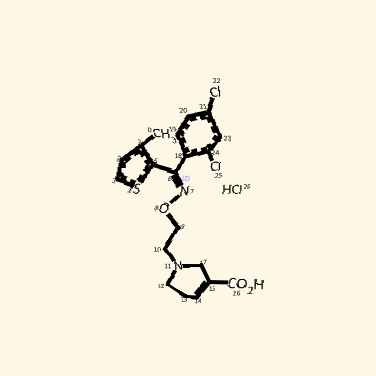 Cc1ccsc1/C(=N\OCCN1CCC=C(C(=O)O)C1)c1ccc(Cl)cc1Cl.Cl